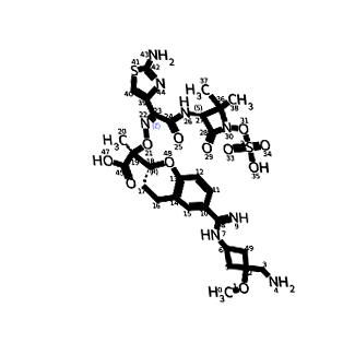 COC1(CN)CC(NC(=N)c2ccc3c(c2)CC[C@H]([C@](C)(O/N=C(\C(=O)N[C@@H]2C(=O)N(OS(=O)(=O)O)C2(C)C)c2csc(N)n2)C(=O)O)O3)C1